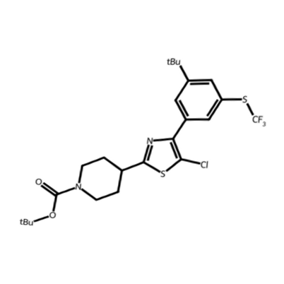 CC(C)(C)OC(=O)N1CCC(c2nc(-c3cc(SC(F)(F)F)cc(C(C)(C)C)c3)c(Cl)s2)CC1